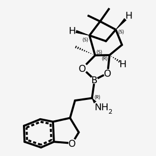 CC1(C)[C@@H]2C[C@H]3OB([C@@H](N)CC4COc5ccccc54)O[C@@]3(C)[C@H]1C2